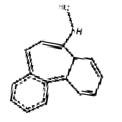 ONC1=CC=c2ccccc2=C2C=CC=CC12